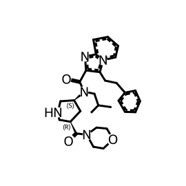 CC(C)CN(C(=O)c1nc2ccccn2c1CCc1ccccc1)[C@@H]1CNC[C@H](C(=O)N2CCOCC2)C1